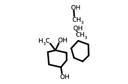 C1CCCCC1.CC1(O)CCC(O)CC1.CO.CO